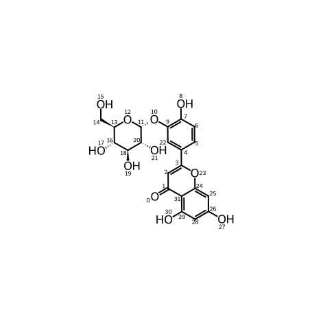 O=c1cc(-c2ccc(O)c(O[C@H]3O[C@H](CO)[C@@H](O)[C@H](O)[C@H]3O)c2)oc2cc(O)cc(O)c12